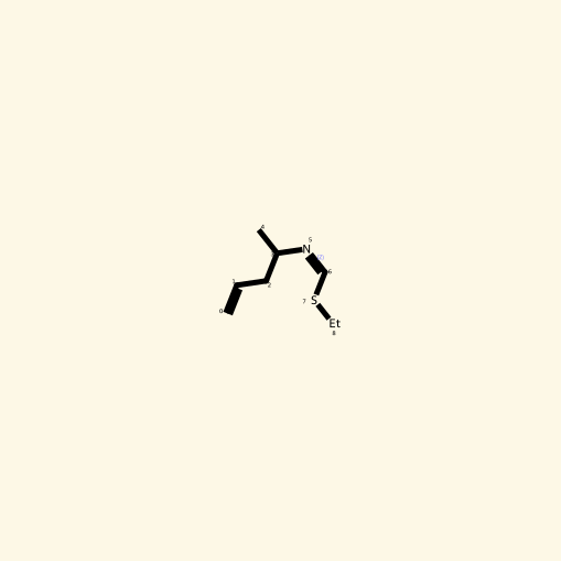 C=CCC(C)/N=C\SCC